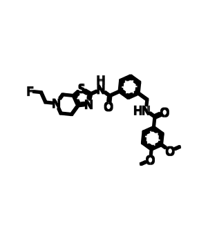 COc1ccc(C(=O)NCc2cccc(C(=O)Nc3nc4c(s3)CN(CCF)CC4)c2)cc1OC